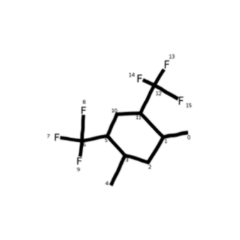 CC1CC(C)C(C(F)(F)F)CC1C(F)(F)F